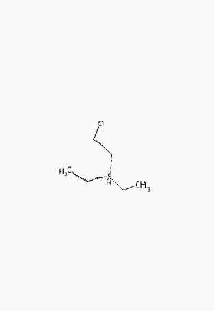 CC[SH](CC)CCCl